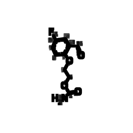 NC(=O)OCCOc1ccc(F)cc1C=O